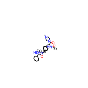 CCC(=O)NC(Cc1ccc(CNC(=O)[C@@H](NC(=O)O)C2CCCCCC2)cc1)C(=O)N1CCN(C)CC1